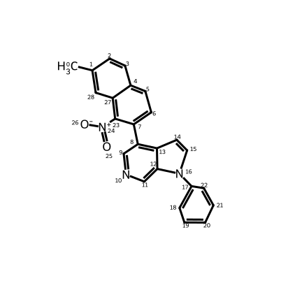 Cc1ccc2ccc(-c3cncc4c3ccn4-c3ccccc3)c([N+](=O)[O-])c2c1